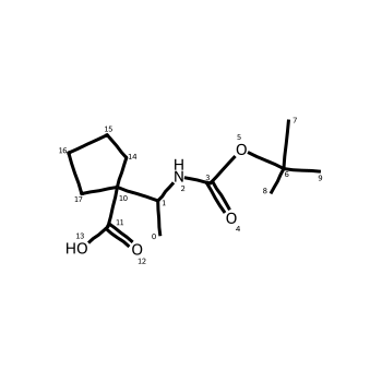 CC(NC(=O)OC(C)(C)C)C1(C(=O)O)CCCC1